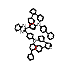 c1ccc(-c2ccc(N(c3ccc(-c4nc5ccccc5nc4-c4ccc(N(c5ccc(-c6ccccc6)cc5)c5cccc(-c6ccccc6-c6ccccc6)c5)cc4)cc3)c3cccc(-c4ccccc4-c4ccccc4)c3)cc2)cc1